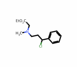 CCOC(=O)CN(C)CCC(Cl)c1ccccc1